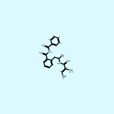 CCC(Cc1ccccc1C(=O)OC(=O)c1ccccc1)OC(=O)C(C)=CO